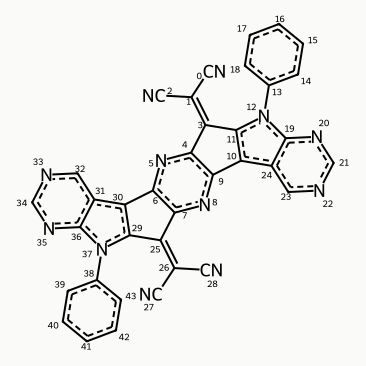 N#CC(C#N)=C1c2nc3c(nc2-c2c1n(-c1ccccc1)c1ncncc21)C(=C(C#N)C#N)c1c-3c2cncnc2n1-c1ccccc1